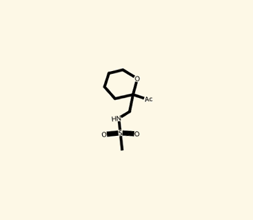 CC(=O)C1(CNS(C)(=O)=O)CCCCO1